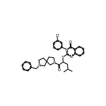 CC(C)CC(Sc1nc2ccccc2c(=O)n1-c1cccc(Cl)c1)C(=O)N1CCC2(CCN(Cc3ccccc3)C2)C1